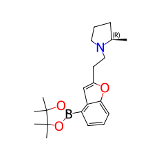 C[C@@H]1CCCN1CCc1cc2c(B3OC(C)(C)C(C)(C)O3)cccc2o1